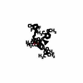 COc1cccc(CN(C(=O)C2=C(c3cnc(CCCOc4c(F)ccc(Cl)c4F)s3)CC3CN(C(=O)OC(C)(C)C)CC2N3C(=O)OC(C)(C)C)C2CC2)c1C